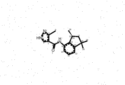 Cc1n[nH]cc1C(=O)Nc1cccc2c1[C@@H](C)CC2(C)C